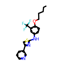 CCCCCOc1ccc(Nc2nc(-c3cccnc3)cs2)cc1C(F)(F)F